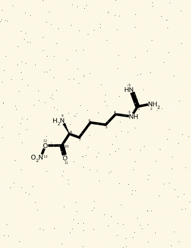 N=C(N)NCCCC[C@H](N)C(=O)O[N+](=O)[O-]